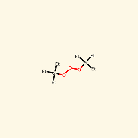 CC[Si](CC)(CC)OOO[Si](CC)(CC)CC